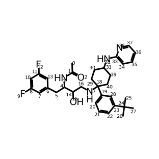 CC(=O)NC(Cc1cc(F)cc(F)c1)C(O)CNC1(c2cccc(C(C)(C)C)c2)CCC(Nc2ccccn2)CC1